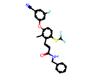 Cc1c(Oc2cc(F)cc(C#N)c2)ccc(SC(F)F)c1/C=C/C(=O)NCc1ccccc1